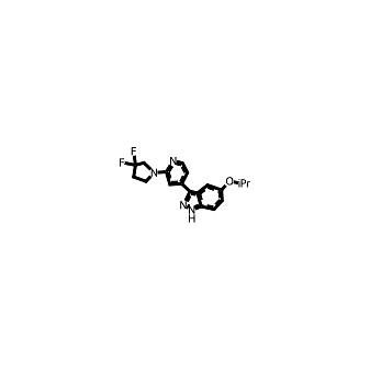 CC(C)Oc1ccc2[nH]nc(-c3ccnc(N4CCC(F)(F)C4)c3)c2c1